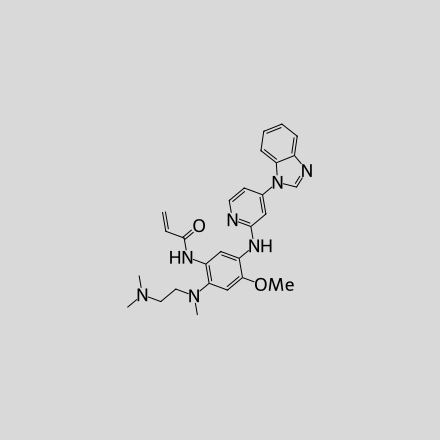 C=CC(=O)Nc1cc(Nc2cc(-n3cnc4ccccc43)ccn2)c(OC)cc1N(C)CCN(C)C